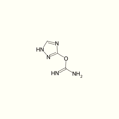 N=C(N)Oc1nc[nH]n1